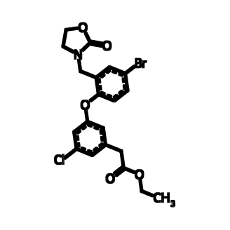 CCOC(=O)Cc1cc(Cl)cc(Oc2ccc(Br)cc2CN2CCOC2=O)c1